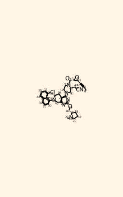 CC#C[C@@H]1O[C@H]1C(=O)N1CCN(c2nc(OC[C@@H]3CCCN3C)nc3c2CCN(c2cccc4cccc(Cl)c24)C3)C[C@@H]1CC#N